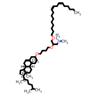 CCCCC/C=C\C/C=C\CCCCCCCCOCC(CN(C)C)OCCCCO[C@H]1CC[C@@]2(C)C(=CC[C@H]3[C@@H]4CC[C@H]([C@H](C)CCCC(C)C)[C@@]4(C)CC[C@@H]32)C1